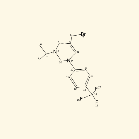 CC(C)N1CC(CBr)=CN(c2ccc(C(F)(F)F)cc2)C1